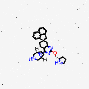 c1cc2c3c(cccc3c1)C1(CCc3c(nc(OC[C@@H]4CCCN4)nc3N3[C@@H]4CC[C@H]3CNC4)C1)C2